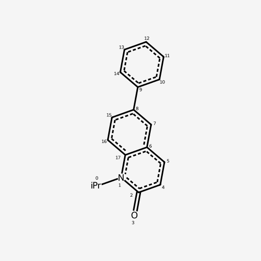 CC(C)n1c(=O)ccc2cc(-c3ccccc3)ccc21